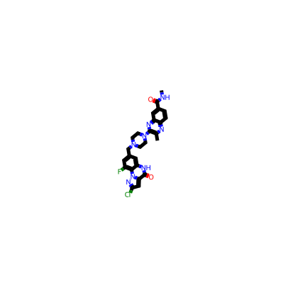 CNC(=O)c1ccc2nc(C)c(N3CCN(Cc4cc(F)c5c(c4)[nH]c(=O)c4cc(Cl)nn45)CC3)nc2c1